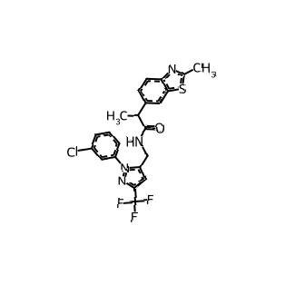 Cc1nc2ccc(C(C)C(=O)NCc3cc(C(F)(F)F)nn3-c3cccc(Cl)c3)cc2s1